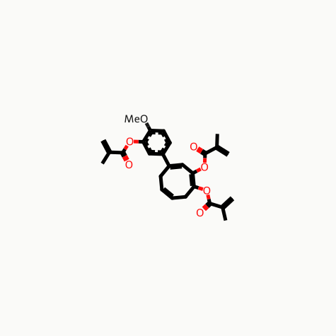 C=C(C)C(=O)OC1=C(\OC(=O)C(=C)C)C/C=C\C/C(c2ccc(OC)c(OC(=O)C(=C)C)c2)=C\1